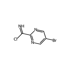 N=C(Cl)c1ncc(Br)cn1